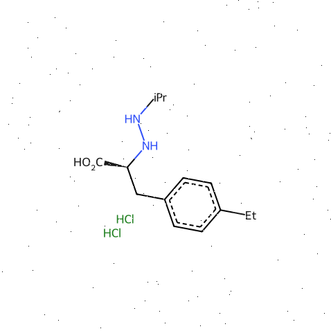 CCc1ccc(C[C@H](NNC(C)C)C(=O)O)cc1.Cl.Cl